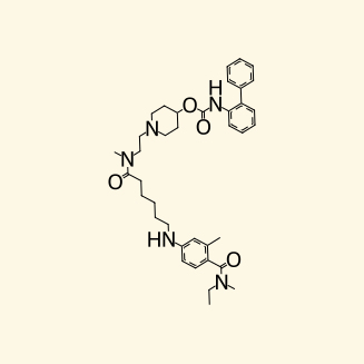 CCN(C)C(=O)c1ccc(NCCCCCC(=O)N(C)CCN2CCC(OC(=O)Nc3ccccc3-c3ccccc3)CC2)cc1C